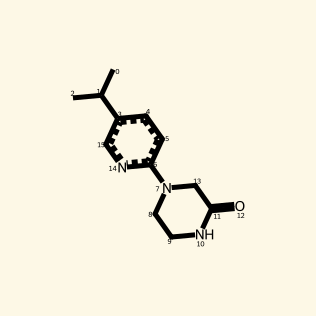 CC(C)c1ccc(N2CCNC(=O)C2)nc1